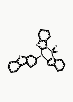 O=S1(=O)n2c(nc3ccccc32)N(c2ccc3c(c2)oc2ccccc23)c2nc3ccccc3n21